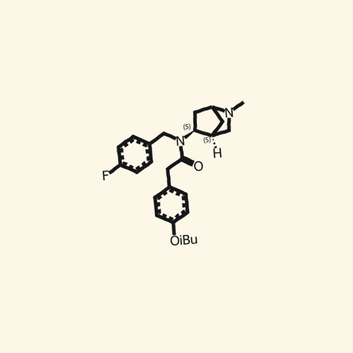 CC(C)COc1ccc(CC(=O)N(Cc2ccc(F)cc2)[C@H]2CC3C[C@H]2CN3C)cc1